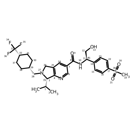 CC(C)[C@H]1c2ncc(C(=O)N[C@@H](CO)c3ccc(S(C)(=O)=O)cc3)cc2CN1C[C@H]1CC[C@@H](C(F)(F)F)CC1